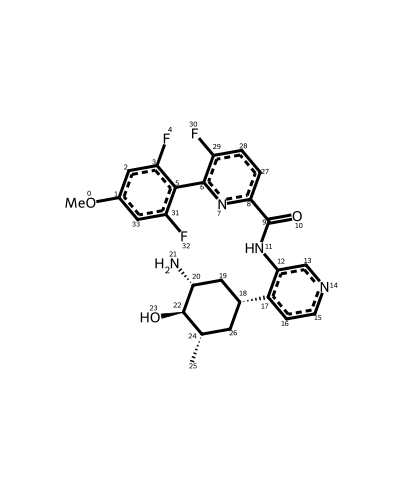 COc1cc(F)c(-c2nc(C(=O)Nc3cnccc3[C@H]3C[C@@H](N)[C@H](O)[C@@H](C)C3)ccc2F)c(F)c1